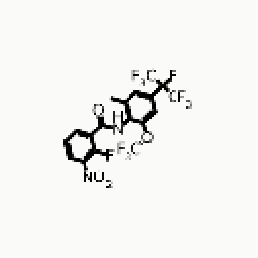 Cc1cc(C(F)(C(F)(F)F)C(F)(F)F)cc(OC(F)(F)F)c1NC(=O)c1cccc([N+](=O)[O-])c1F